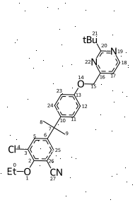 CCOc1c(Cl)cc(C(C)(C)c2ccc(OCc3ccnc(C(C)(C)C)n3)cc2)cc1C#N